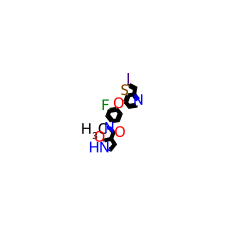 CN(C(=O)C1CCNC1=O)c1ccc(Oc2ccnc3cc(I)sc23)c(F)c1